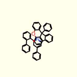 C1=C(c2ccccc2)CC(c2ccccc2-c2ccccc2)N=C1c1ccccc1C1(c2ccccc2)c2ccccc2Oc2ccccc21